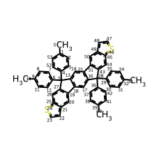 Cc1ccc(C2(c3ccc(C)cc3)c3cc4c(cc3-c3cc5ccsc5cc32)C(c2ccc(C)cc2)(c2ccc(C)cc2)c2cc3sccc3cc2-4)cc1